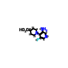 Nc1cncc(F)c1N1CCC(C(=O)O)CC1